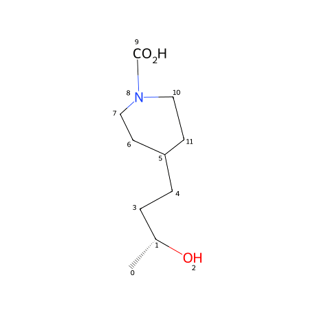 C[C@@H](O)CCC1CCN(C(=O)O)CC1